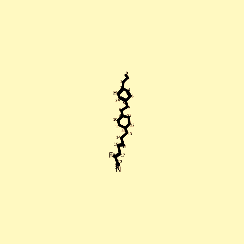 CCCc1ccc(CCC2CCC(CCC=CC=C(F)C#N)CC2)cc1